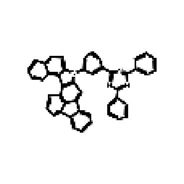 c1ccc(-c2nc(-c3ccccc3)nc(-c3cccc(-n4c5ccc6ccccc6c5c5c6cccc7c6c(cc54)-c4ccccc4-7)c3)n2)cc1